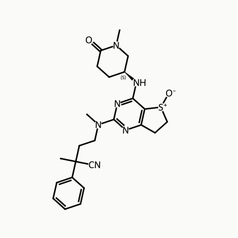 CN1C[C@@H](Nc2nc(N(C)CCC(C)(C#N)c3ccccc3)nc3c2[S+]([O-])CC3)CCC1=O